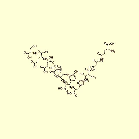 C[C@@H](O)[C@H](N)C(=O)O.C[C@H](N)C(=O)O.C[C@H](N)C(=O)O.NCC(=O)O.N[C@@H](CC(=O)O)C(=O)O.N[C@@H](CCC(=O)O)C(=O)O.N[C@@H](CCC(=O)O)C(=O)O.N[C@@H](CO)C(=O)O.N[C@@H](Cc1c[nH]cn1)C(=O)O.N[C@@H](Cc1ccc(O)cc1)C(=O)O